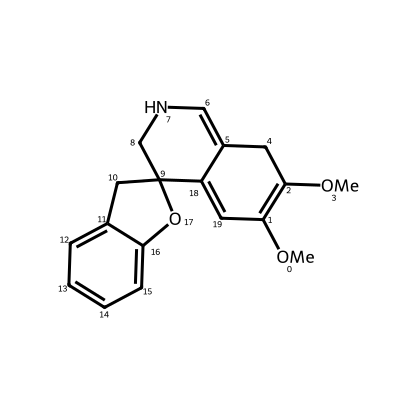 COC1=C(OC)CC2=CNCC3(Cc4ccccc4O3)C2=C1